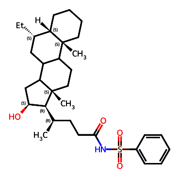 CC[C@H]1CC2C3C[C@H](O)[C@H]([C@H](C)CCC(=O)NS(=O)(=O)c4ccccc4)[C@@]3(C)CCC2[C@@]2(C)CCCC[C@@H]12